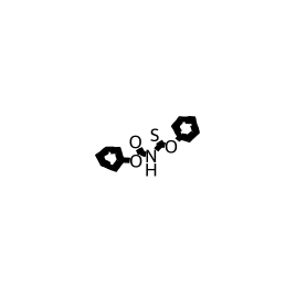 O=C(NC(=S)Oc1ccccc1)Oc1ccccc1